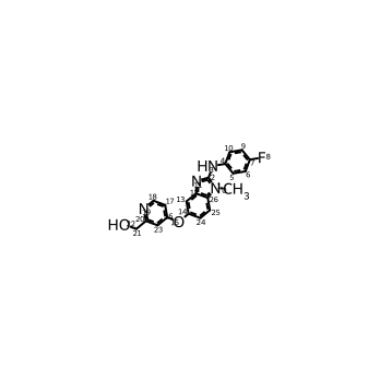 Cn1c(Nc2ccc(F)cc2)nc2cc(Oc3ccnc(CO)c3)ccc21